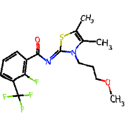 COCCCn1c(C)c(C)s/c1=N\C(=O)c1cccc(C(F)(F)F)c1F